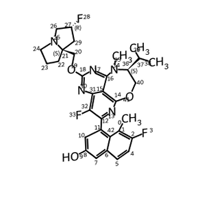 Cc1c(F)ccc2cc(O)cc(-c3nc4c5c(nc(OC[C@@]67CCCN6C[C@H](F)C7)nc5c3F)N(C)[C@@H](C(C)C)CO4)c12